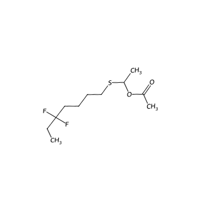 CCC(F)(F)CCCCSC(C)OC(C)=O